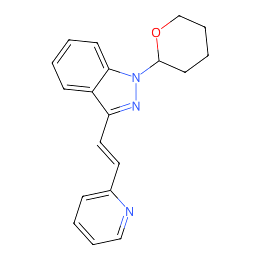 C(=C\c1nn(C2CCCCO2)c2ccccc12)/c1ccccn1